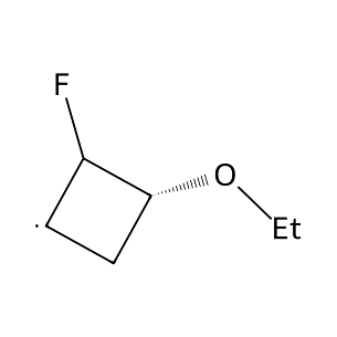 CCO[C@@H]1C[CH]C1F